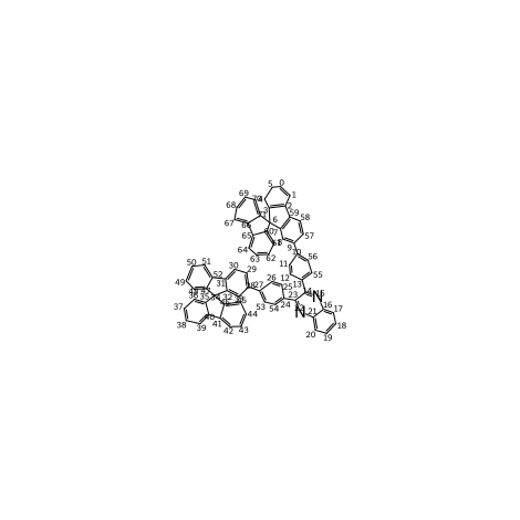 C1=CC2=C(CC1)C1(c3cc(-c4ccc(-c5nc6ccccc6nc5-c5ccc(-c6ccc7c(c6)C6(c8ccccc8-c8ccccc86)c6ccccc6-7)cc5)cc4)ccc32)c2ccccc2-c2ccccc21